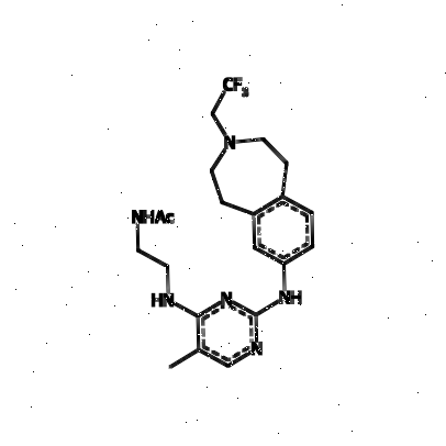 CC(=O)NCCNc1nc(Nc2ccc3c(c2)CCN(CC(F)(F)F)CC3)ncc1C